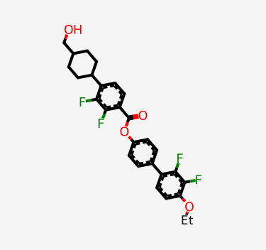 CCOc1ccc(-c2ccc(OC(=O)c3ccc(C4CCC(CO)CC4)c(F)c3F)cc2)c(F)c1F